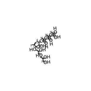 C=C(C)C(=O)O.CC(O)CO.CC(O)CO.CC(O)CO.CC(O)CO.CC(O)CO.CC(O)CO